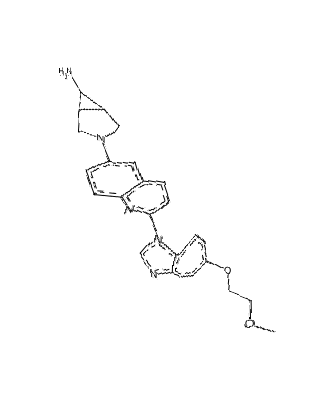 COCCOc1ccc2c(c1)ncn2-c1ccc2cc(N3CC4C(N)C4C3)ccc2n1